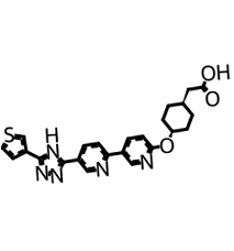 O=C(O)C[C@H]1CC[C@@H](Oc2ccc(-c3ccc(-c4nnc(-c5ccsc5)[nH]4)cn3)cn2)CC1